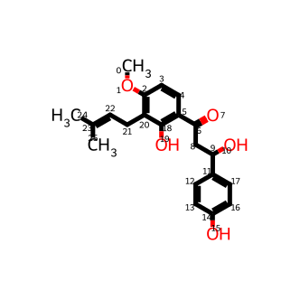 COc1ccc(C(=O)CC(O)c2ccc(O)cc2)c(O)c1CC=C(C)C